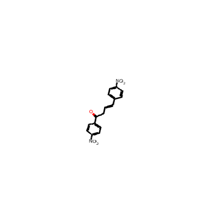 O=C(CC=Cc1ccc([N+](=O)[O-])cc1)c1ccc([N+](=O)[O-])cc1